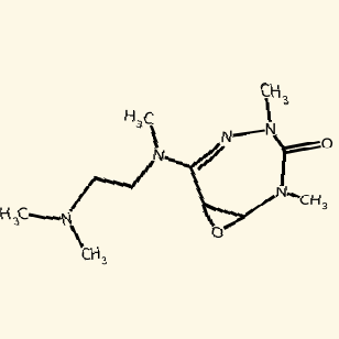 CN(C)CCN(C)C1=NN(C)C(=O)N(C)C2OC12